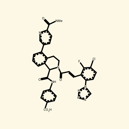 CNC(=O)c1ccc(-c2cccc3c2CCN(C(=O)C=Cc2c(-n4cnnn4)ccc(Cl)c2F)C3C(=O)Nc2ccc(C(=O)O)cc2)cn1